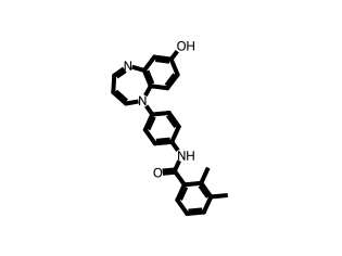 Cc1cccc(C(=O)Nc2ccc(N3C=CC=Nc4cc(O)ccc43)cc2)c1C